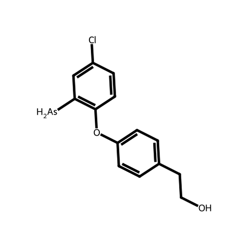 OCCc1ccc(Oc2ccc(Cl)cc2[AsH2])cc1